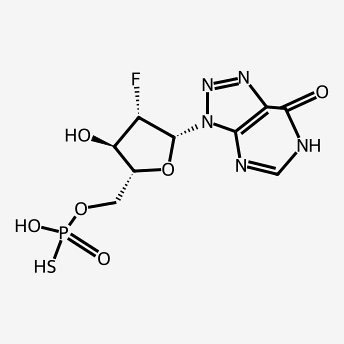 O=c1[nH]cnc2c1nnn2[C@@H]1O[C@H](COP(=O)(O)S)[C@@H](O)[C@@H]1F